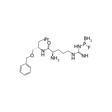 BP(F)NC(=N)NCCC[C@@H](N)C(=O)N[C@H](COCc1ccccc1)CC(C)C